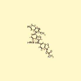 CC(=O)O[C@@H]1COc2cc(N[C@@H]3COc4c3cccc4-n3c(C)nc4ccc(F)cc43)ccc21.[NaH]